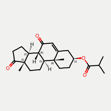 CC(C)C(=O)O[C@H]1CC[C@@]2(C)C(=CC(=O)[C@@H]3[C@@H]2CC[C@]2(C)C(=O)CC[C@@H]32)C1